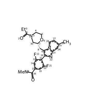 CCC(=O)N1CCO[C@H](Cc2c(-c3c(F)cc(C(=O)NC)cc3F)nc3cc(C)ccn23)C1